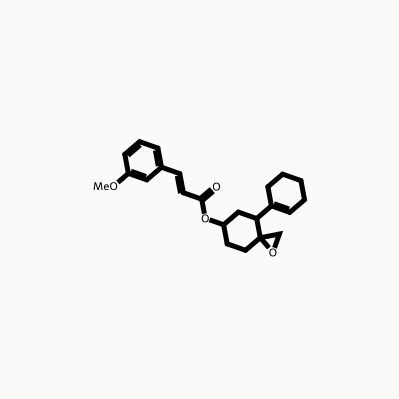 COc1cccc(C=CC(=O)OC2CCC3(CO3)C(C3=CCCCC3)C2)c1